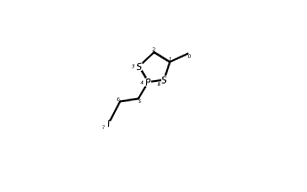 CC1CSP(CCI)S1